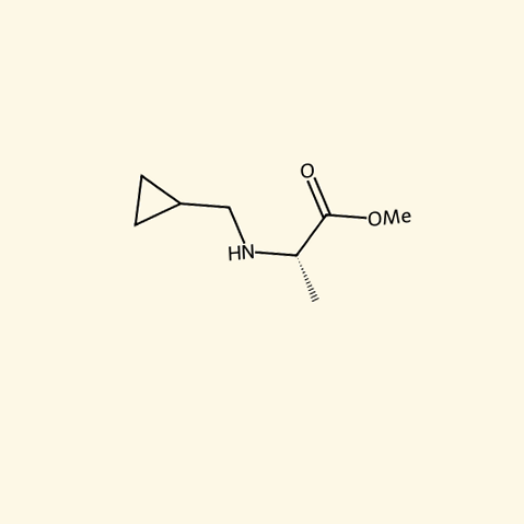 COC(=O)[C@H](C)NCC1CC1